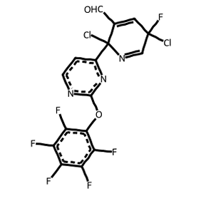 O=CC1=CC(F)(Cl)C=NC1(Cl)c1ccnc(Oc2c(F)c(F)c(F)c(F)c2F)n1